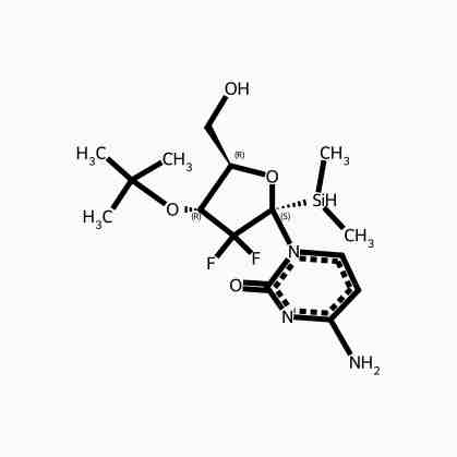 C[SiH](C)[C@@]1(n2ccc(N)nc2=O)O[C@H](CO)[C@@H](OC(C)(C)C)C1(F)F